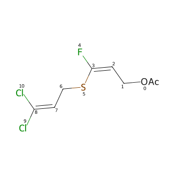 CC(=O)OCC=C(F)SCC=C(Cl)Cl